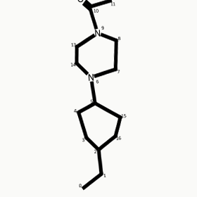 CCC1CCC(N2CCN(C(C)=O)CC2)CC1